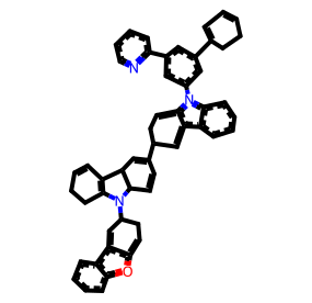 C1=CCCC(c2cc(-c3ccccn3)cc(-n3c4c(c5ccccc53)=CC(C3=CC5C6=C(CCC=C6)N(C6C=c7c(oc8ccccc78)=CC6)C5C=C3)CC=4)c2)=C1